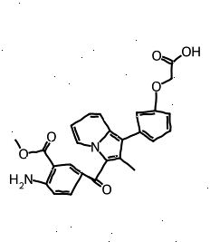 COC(=O)c1cc(C(=O)c2c(C)c(-c3cccc(OCC(=O)O)c3)c3ccccn23)ccc1N